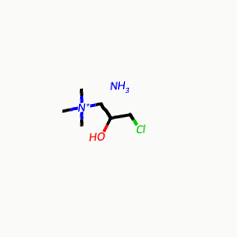 C[N+](C)(C)CC(O)CCl.N